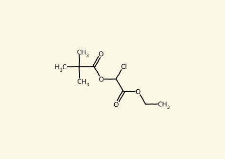 CCOC(=O)C(Cl)OC(=O)C(C)(C)C